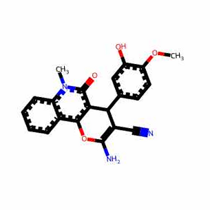 COc1ccc(C2C(C#N)=C(N)Oc3c2c(=O)n(C)c2ccccc32)cc1O